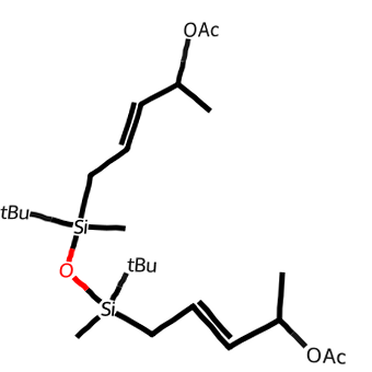 CC(=O)OC(C)C=CC[Si](C)(O[Si](C)(CC=CC(C)OC(C)=O)C(C)(C)C)C(C)(C)C